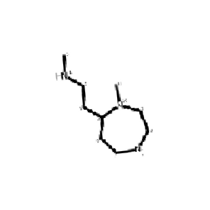 CNCCC1CC[N]CCN1C